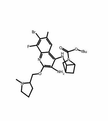 Cc1cc2c(NC3C4CC3N(C(=O)OC(C)(C)C)C4)c(N)c(OCC3CCCN3C)nc2c(F)c1Br